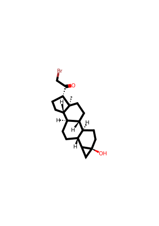 C[C@]12CC[C@@H]3[C@H]4CC[C@]5(O)CC5[C@@H]4CC[C@H]3[C@@H]1CC[C@@H]2C(=O)CBr